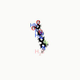 BCN1CCC(C2CCN(c3cc(NC4CCC(=O)NC4=O)on3)CC2)C(F)(F)C1